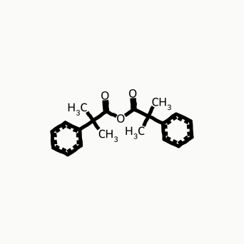 CC(C)(C(=O)OC(=O)C(C)(C)c1ccccc1)c1ccccc1